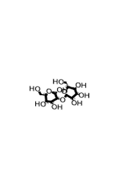 OC[C@H]1O[C@@H](O)[C@H](OC2O[C@H](CO)[C@@H](O)[C@H](O)[C@@H]2O)[C@@H](O)[C@@H]1O